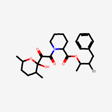 CCC(Cc1ccccc1)C(C)OC(=O)C1CCCCN1C(=O)C(=O)C1(O)OC(C)CCC1C